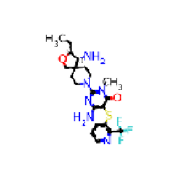 CC[C@@H]1OCC2(CCN(c3nc(N)c(Sc4cccnc4C(F)(F)F)c(=O)n3C)CC2)[C@@H]1N